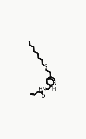 C=CCC(=O)NC[C@@H]1CC2CCN1CC2CCSCCCCCCCC